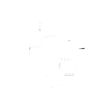 CC(=O)NC(CSC(=O)[C@@H](C)c1ccc(CC(C)C)cc1)C(=O)O